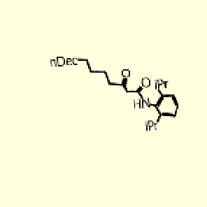 CCCCCCCCCCCCCCC(=O)CC(=O)Nc1c(C(C)C)cccc1C(C)C